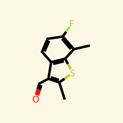 Cc1sc2c(C)c(F)ccc2c1C=O